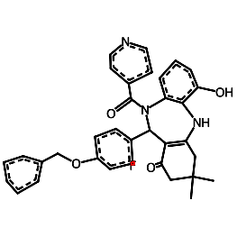 CC1(C)CC(=O)C2=C(C1)Nc1c(O)cccc1N(C(=O)c1ccncc1)C2c1ccc(OCc2ccccc2)cc1F